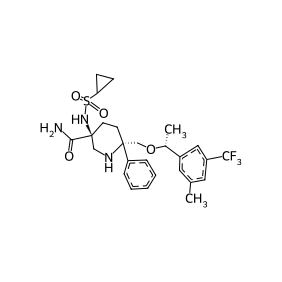 Cc1cc([C@@H](C)OC[C@@]2(c3ccccc3)CC[C@@](NS(=O)(=O)C3CC3)(C(N)=O)CN2)cc(C(F)(F)F)c1